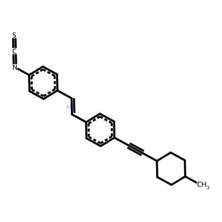 CC1CCC(C#Cc2ccc(/C=C/c3ccc(N=C=S)cc3)cc2)CC1